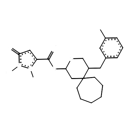 Cn1c(C(=O)NC2CC3(CCCCCC3)C(Cc3cccc(Cl)c3)CN2)cc(=O)n1C